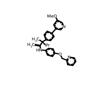 C=C(Nc1ccc(OCc2ccccn2)cc1)C(C)(c1ccc(-c2cncc(OC)c2)cc1)C(C)C